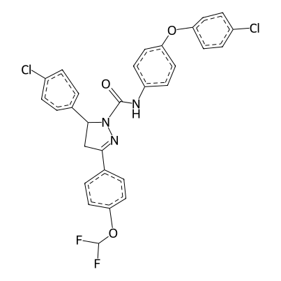 O=C(Nc1ccc(Oc2ccc(Cl)cc2)cc1)N1N=C(c2ccc(OC(F)F)cc2)CC1c1ccc(Cl)cc1